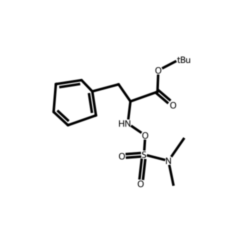 CN(C)S(=O)(=O)ONC(Cc1ccccc1)C(=O)OC(C)(C)C